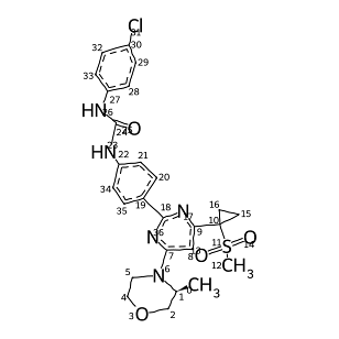 C[C@H]1COCCN1c1cc(C2(S(C)(=O)=O)CC2)nc(-c2ccc(NC(=O)Nc3ccc(Cl)cc3)cc2)n1